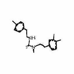 Cc1ccc(CCNC(=S)N(C)CCc2ccc(C)c(C)c2)cc1